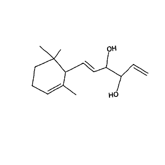 C=CC(O)C(O)C=CC1C(C)=CCCC1(C)C